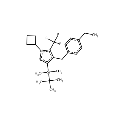 CCc1ccc(Cc2c([Si](C)(C)C(C)(C)C)nn(C3CCC3)c2C(F)(F)F)cc1